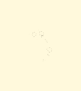 CC1CN(c2cccc(SNc3ccc(Cl)c(-c4ccc(F)cc4Cl)n3)n2)C1